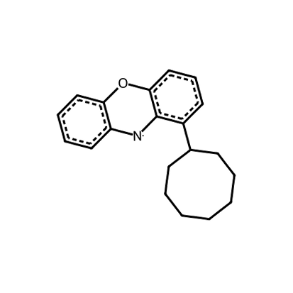 c1ccc2c(c1)[N]c1c(cccc1C1CCCCCCC1)O2